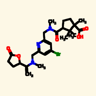 C=C(C1CCC(=O)O1)N(C)Cc1cc(Br)cc(CN(C)C(=O)C2CCC(C)(C(=O)O)C2(C)C)n1